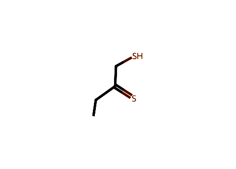 CCC(=S)CS